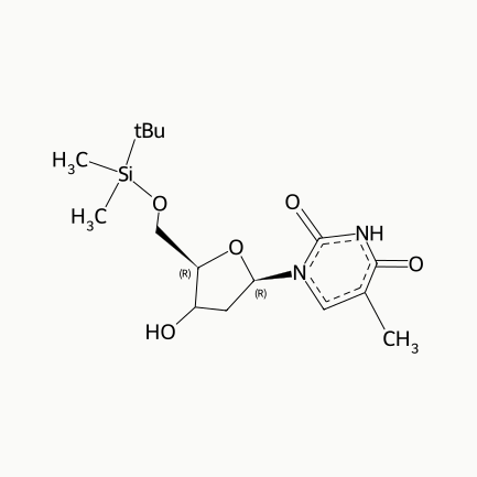 Cc1cn([C@H]2CC(O)[C@@H](CO[Si](C)(C)C(C)(C)C)O2)c(=O)[nH]c1=O